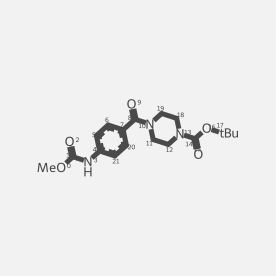 COC(=O)Nc1ccc(C(=O)N2CCN(C(=O)OC(C)(C)C)CC2)cc1